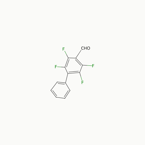 O=Cc1c(F)c(F)c(-c2ccccc2)c(F)c1F